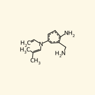 C=CN(C=C(C)C)c1ccc(N)c(CN)c1